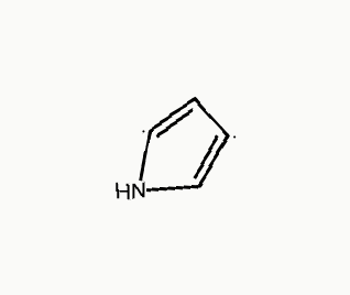 [c]1c[c][nH]c1